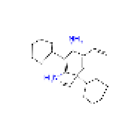 C=CC1=CC(C=C)(C2CCCCC2)C(N)=C(C2CCCCC2)C1N